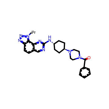 CC(C)n1nnc2ccc3cnc(N[C@H]4CC[C@H](N5CCN(C(=O)c6ccccc6)CC5)CC4)nc3c21